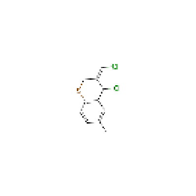 Cc1ccc2c(c1)C(Cl)C(=CCl)CS2